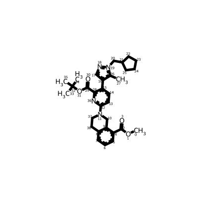 COC(=O)c1cccc2c1CN(c1ccc(-c3cnn(CC4CCCC4)c3C)c(C(=O)OC(C)(C)C)n1)CC2